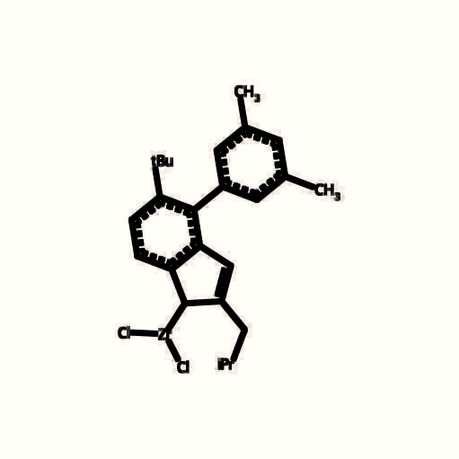 Cc1cc(C)cc(-c2c(C(C)(C)C)ccc3c2C=C(CC(C)C)[CH]3[Zr]([Cl])[Cl])c1